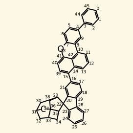 c1ccc(-c2ccc3c(c2)-c2cccc4c(-c5ccc6c(c5)C5(c7ccccc7-6)C6CC7CC8CC5C8(C7)C6)ccc(c24)O3)cc1